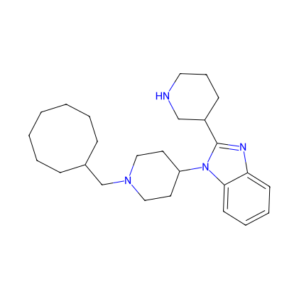 c1ccc2c(c1)nc(C1CCCNC1)n2C1CCN(CC2CCCCCCC2)CC1